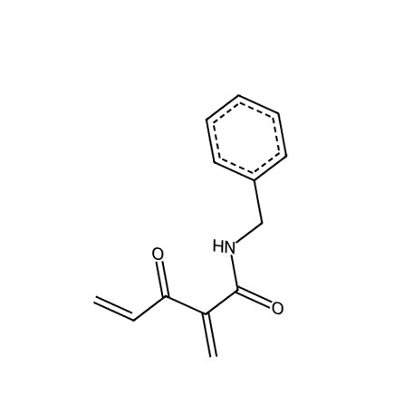 C=CC(=O)C(=C)C(=O)NCc1ccccc1